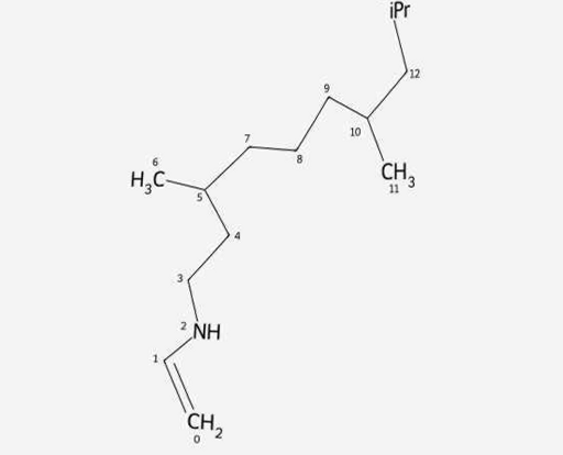 C=CNCCC(C)CCCC(C)CC(C)C